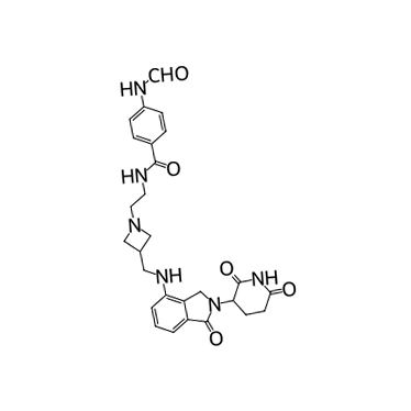 O=CNc1ccc(C(=O)NCCN2CC(CNc3cccc4c3CN(C3CCC(=O)NC3=O)C4=O)C2)cc1